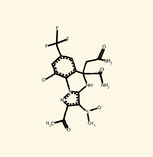 CC(=O)c1nn2c(c1[S+](C)[O-])NC(CC(N)=O)(C(N)=O)c1cc(C(F)(F)F)cc(Cl)c1-2